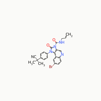 C=CCNC(=O)n1c(=O)n(-c2ccc(C(C)(C)C#N)cc2)c2c3cc(Br)ccc3ncc21